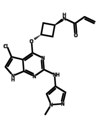 C=CC(=O)N[C@H]1C[C@H](Oc2nc(Nc3cnn(C)c3)nc3[nH]cc(Cl)c23)C1